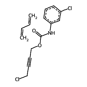 C=CC=C.O=C(Nc1cccc(Cl)c1)OCC#CCCl